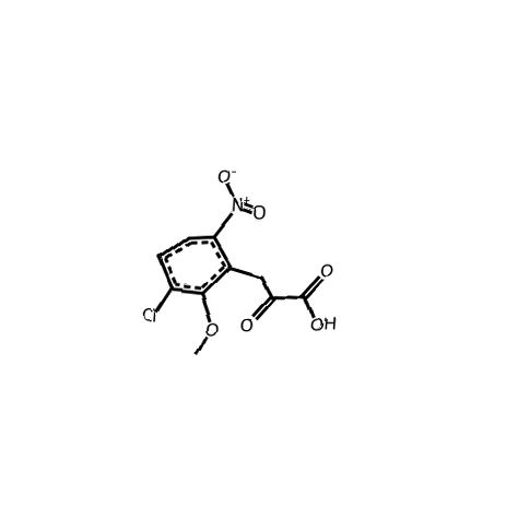 COc1c(Cl)ccc([N+](=O)[O-])c1CC(=O)C(=O)O